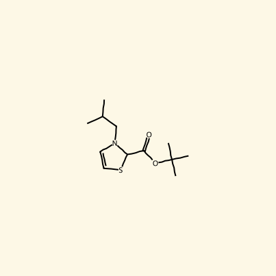 CC(C)CN1C=CSC1C(=O)OC(C)(C)C